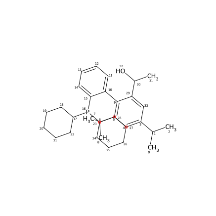 CC(C)c1cc(C(C)C)c(-c2ccccc2P(C2CCCCC2)C2CCCCC2)c(C(C)O)c1